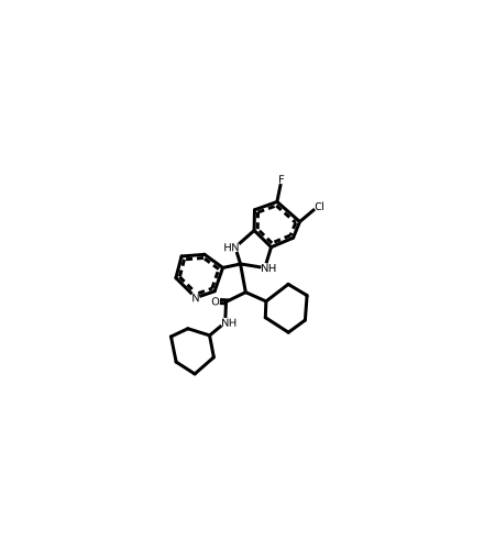 O=C(NC1CCCCC1)C(C1CCCCC1)C1(c2cccnc2)Nc2cc(F)c(Cl)cc2N1